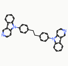 c1ccc2c(c1)c1cnccc1n2-c1ccc(CCc2ccc(-n3c4ccccc4c4cnccc43)cc2)cc1